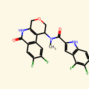 CN(C(=O)c1cc2c(F)c(F)ccc2[nH]1)C1COCc2[nH]c(=O)c3cc(F)c(F)cc3c21